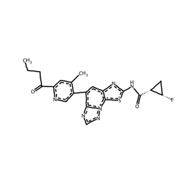 CCCC(=O)c1cc(C)c(-c2cc3nc(NC(=O)[C@@H]4C[C@@H]4F)sc3n3ncnc23)cn1